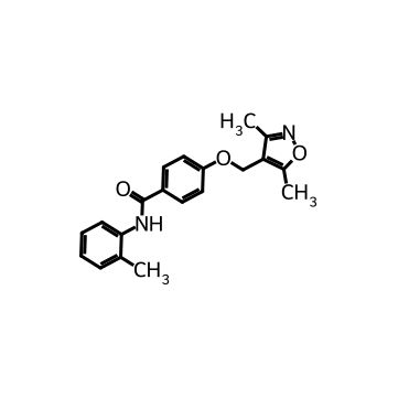 Cc1ccccc1NC(=O)c1ccc(OCc2c(C)noc2C)cc1